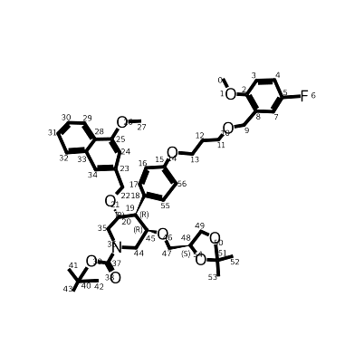 COc1ccc(F)cc1COCCCOc1ccc([C@@H]2[C@@H](OCc3cc(OC)c4ccccc4c3)CN(C(=O)OC(C)(C)C)C[C@@H]2OC[C@H]2COC(C)(C)O2)cc1